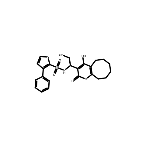 CC(C)CC(NS(=O)(=O)c1sccc1-c1ccccc1)c1c(O)c2c(oc1=O)CCCCCC2